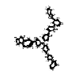 c1ccc(-c2ccc(-c3ccc(N(c4ccc(-c5ccc(-c6cccc(-c7cc8ccccc8o7)c6)cc5)cc4)c4ccc(-c5ccc6c(ccc7ccccc76)c5)cc4)cc3)cc2)cc1